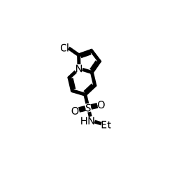 CCNS(=O)(=O)c1ccn2c(Cl)ccc2c1